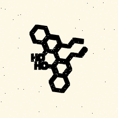 C=CCc1cc2c(c(O)c1-c1c(CC=C)cc3c(c1O)CCCC3)CCCC2